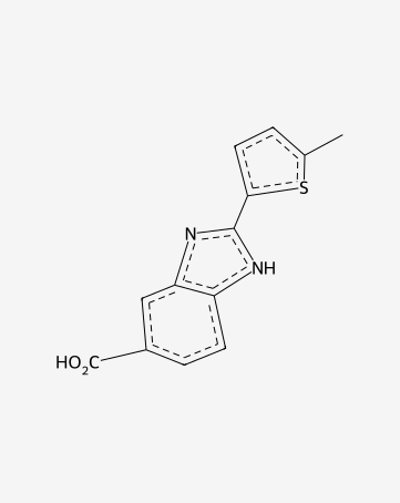 Cc1ccc(-c2nc3cc(C(=O)O)ccc3[nH]2)s1